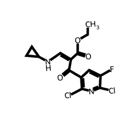 CCOC(=O)/C(=C/NC1CC1)C(=O)c1cc(F)c(Cl)nc1Cl